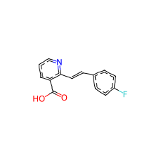 O=C(O)c1cccnc1C=Cc1ccc(F)cc1